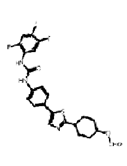 O=COC1CCC(c2ncc(-c3ccc(NC(=O)Nc4cc(F)c(F)cc4F)cc3)s2)CC1